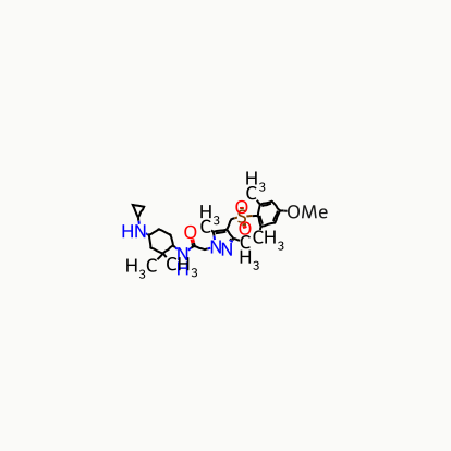 COc1cc(C)c(S(=O)(=O)Cc2c(C)nn(CC(=O)NC3CCC(NC4CC4)CC3(C)C)c2C)c(C)c1